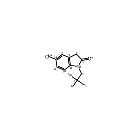 CC(F)(F)CN1C(=O)Cc2cc(Cl)ccc21